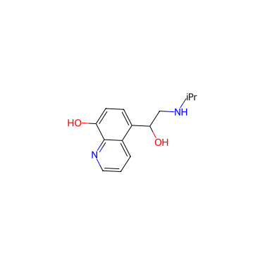 CC(C)NCC(O)c1ccc(O)c2ncccc12